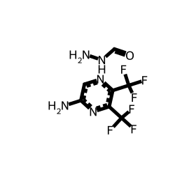 NNC=O.Nc1cnc(C(F)(F)F)c(C(F)(F)F)n1